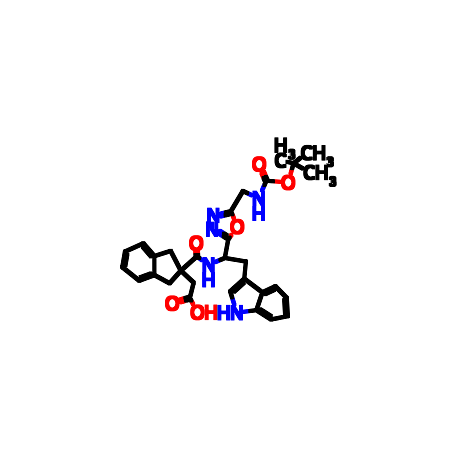 CC(C)(C)OC(=O)NCc1nnc(C(Cc2c[nH]c3ccccc23)NC(=O)C2(CC(=O)O)Cc3ccccc3C2)o1